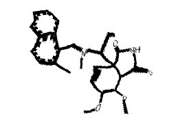 CCC(N(C)Cc1c(C)ccc2ccccc12)C12C=CC(OC)=C(OC)C1C(=O)NC2=O